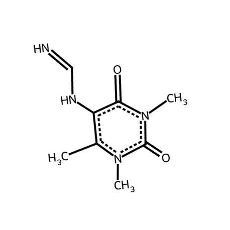 Cc1c(NC=N)c(=O)n(C)c(=O)n1C